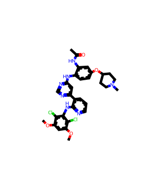 COc1cc(OC)c(Cl)c(Nc2ncccc2-c2cc(Nc3ccc(OC4CCN(C)CC4)cc3NC(C)=O)ncn2)c1Cl